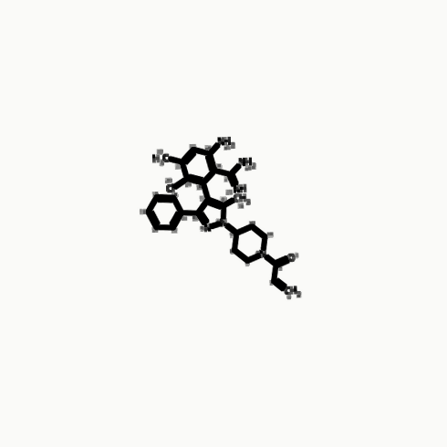 C=CC(=O)N1CCC(n2nc(-c3ccccc3)c(-c3c(Cl)c(C)cc(N)c3C(=N)N)c2C)CC1